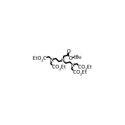 CCOC(=O)CN(CCN(CCN(CC(=O)OCC)CC(=O)OCC)CC(=O)OC(C)(C)C)CC(=O)OCC